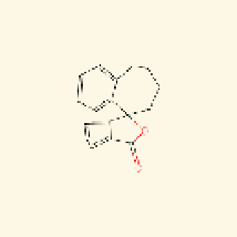 O=C1OC2(CCCCc3ccccc32)c2ccccc21